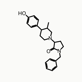 CC1CN(C2CCN(Cc3ccccc3)C2=O)CCC1c1ccc(O)cc1